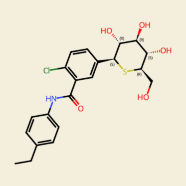 CCc1ccc(NC(=O)c2cc([C@@H]3S[C@H](CO)[C@@H](O)[C@H](O)[C@H]3O)ccc2Cl)cc1